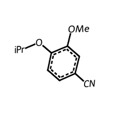 COc1cc(C#N)ccc1OC(C)C